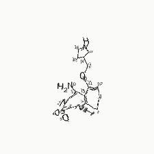 NC1=NS(=O)(=O)Nc2cccc(OCC3CCNC3)c21